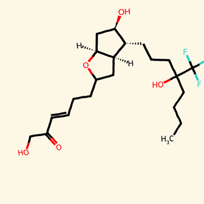 CCCCC(O)(CCC[C@@H]1[C@H]2CC(CCC=CC(=O)CO)O[C@H]2C[C@H]1O)C(F)(F)F